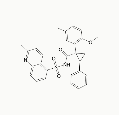 COc1ccc(C)cc1[C@@]1(C(=O)NS(=O)(=O)c2cccc3nc(C)ccc23)C[C@H]1c1ccccc1